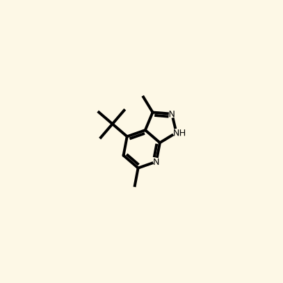 Cc1cc(C(C)(C)C)c2c(C)n[nH]c2n1